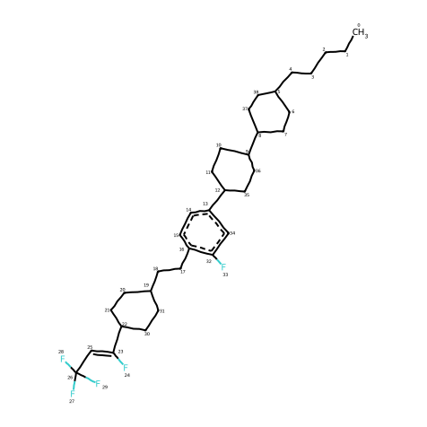 CCCCCC1CCC(C2CCC(c3ccc(CCC4CCC(/C(F)=C/C(F)(F)F)CC4)c(F)c3)CC2)CC1